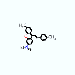 C=c1ccc2c(c1)Oc1cc(N(CC)CC)ccc1C=2/C=C/c1ccc(C)cc1